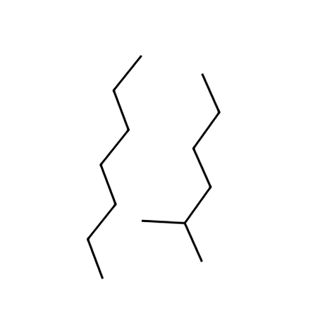 CCCCC(C)C.CCCCCCC